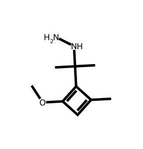 COC1=C(C(C)(C)NN)C(C)=C1